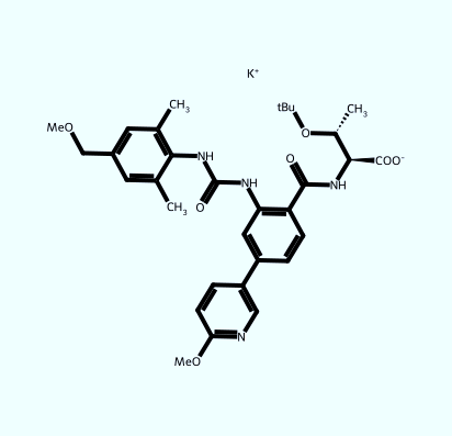 COCc1cc(C)c(NC(=O)Nc2cc(-c3ccc(OC)nc3)ccc2C(=O)N[C@H](C(=O)[O-])[C@@H](C)OC(C)(C)C)c(C)c1.[K+]